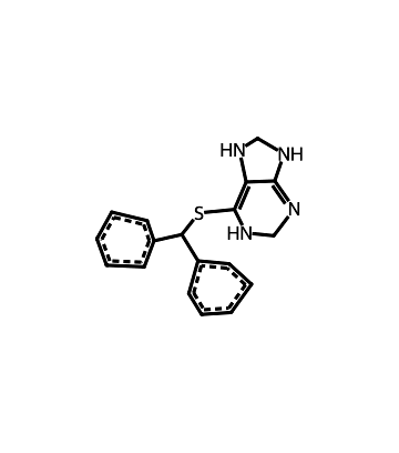 c1ccc(C(SC2=C3NCNC3=NCN2)c2ccccc2)cc1